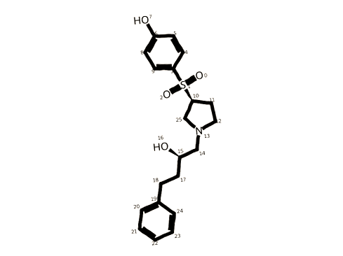 O=S(=O)(c1ccc(O)cc1)[C@H]1CCN(C[C@H](O)CCc2ccccc2)C1